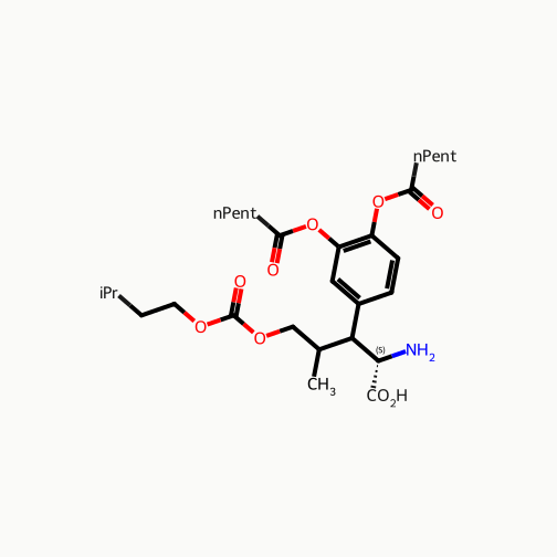 CCCCCC(=O)Oc1ccc(C(C(C)COC(=O)OCCC(C)C)[C@H](N)C(=O)O)cc1OC(=O)CCCCC